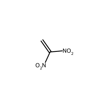 C=C([N+](=O)[O-])[N+](=O)[O-]